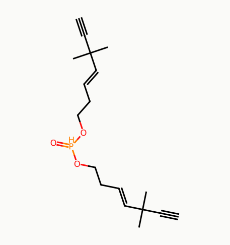 C#CC(C)(C)C=CCCO[PH](=O)OCCC=CC(C)(C)C#C